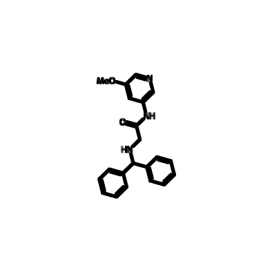 COc1cncc(NC(=O)CNC(c2ccccc2)c2ccccc2)c1